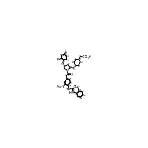 COc1cc(CC(=O)N2C[C@@H](Oc3ccc(F)cc3F)CC2CN2CCC(CC(=O)O)CC2)ccc1NC(=O)Nc1ccccc1C